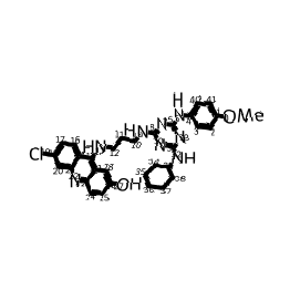 COc1ccc(Nc2nc(NCCCNc3c4ccc(Cl)cc4nc4ccc(O)cc34)nc(NC3CCCCC3)n2)cc1